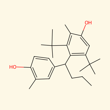 CCCC(c1ccc(O)c(C)c1)c1c(C(C)(C)C)cc(O)c(C)c1C(C)(C)C